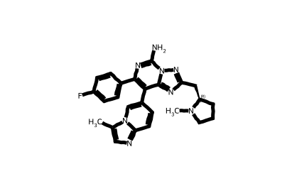 Cc1cnc2ccc(-c3c(-c4ccc(F)cc4)nc(N)n4nc(C[C@H]5CCCN5C)nc34)cn12